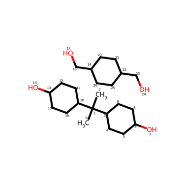 CC(C)(C1CCC(O)CC1)C1CCC(O)CC1.OCC1CCC(CO)CC1